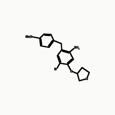 COc1ccc(Cc2cc(Br)c(OC3CCOC3)cc2N)cc1